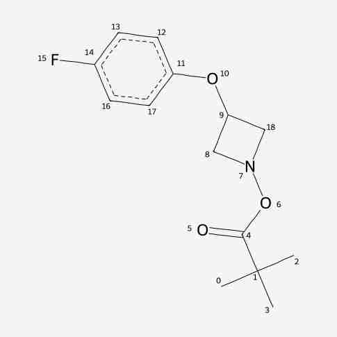 CC(C)(C)C(=O)ON1CC(Oc2ccc(F)cc2)C1